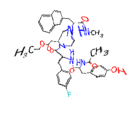 CCOC(=O)CC1CN(C(Cc2ccc3ccccc3c2)C(=O)NC)CCN1C(=O)C(Cc1ccc(F)cc1)NC(=O)C(Cc1ccc(O)cc1)NC(C)=O